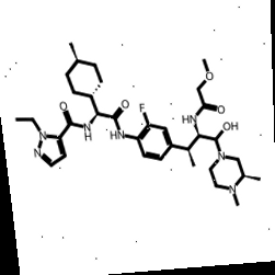 CCn1nccc1C(=O)N[C@H](C(=O)Nc1ccc([C@H](C)[C@@H](NC(=O)COC)C(O)N2CCN(C)[C@H](C)C2)cc1F)[C@H]1CC[C@H](C)CC1